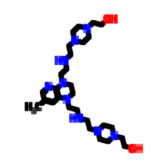 Cc1cnc2c(c1)N(CCNCCN1CCN(CCO)CC1)CCN2CCNCCN1CCN(CCO)CC1